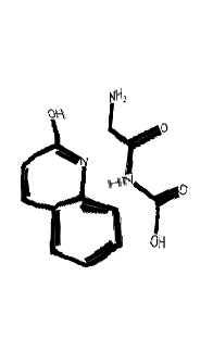 NCC(=O)NC(=O)O.Oc1ccc2ccccc2n1